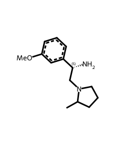 COc1cccc([C@H](N)CN2CCCC2C)c1